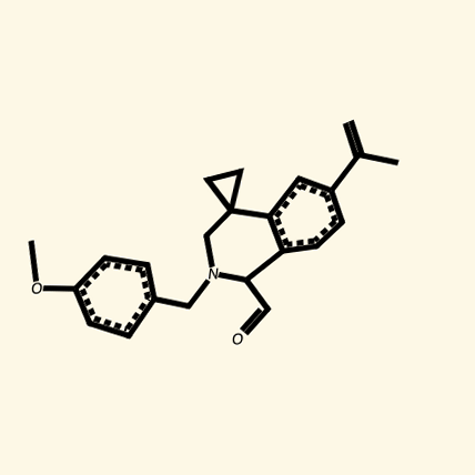 C=C(C)c1ccc2c(c1)C1(CC1)CN(Cc1ccc(OC)cc1)C2C=O